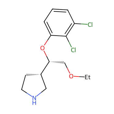 CCOC[C@@H](Oc1cccc(Cl)c1Cl)[C@H]1CCNC1